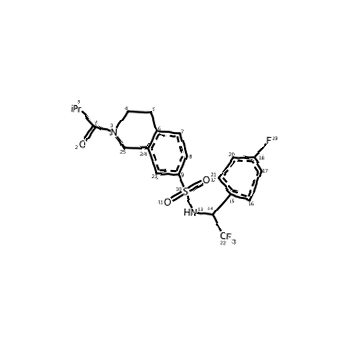 CC(C)C(=O)N1CCc2ccc(S(=O)(=O)NC(c3ccc(F)cc3)C(F)(F)F)cc2C1